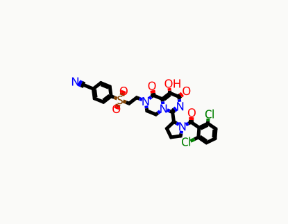 N#Cc1ccc(S(=O)(=O)CCN2CCn3c(C4CCCN4C(=O)c4c(Cl)cccc4Cl)nc(=O)c(O)c3C2=O)cc1